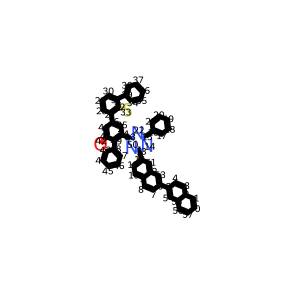 C1=CC2C=CC(c3ccc4ccc(-c5nc(-c6ccccc6)nc(-c6cc(-c7cccc8c7sc7ccccc78)cc7oc8ccccc8c67)n5)cc4c3)=CC2C=C1